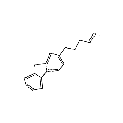 [CH]=CCCCc1ccc2c(c1)Cc1ccccc1-2